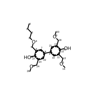 CCCCOCc1cc(-c2cc(COC)c(O)c(COC)c2)cc(COC)c1O